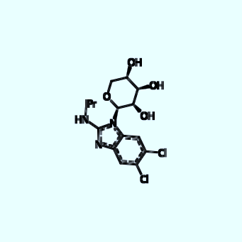 CC(C)Nc1nc2cc(Cl)c(Cl)cc2n1[C@H]1OC[C@@H](O)[C@@H](O)[C@H]1O